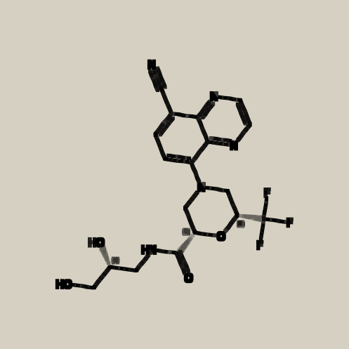 N#Cc1ccc(N2C[C@@H](C(=O)NC[C@@H](O)CO)O[C@@H](C(F)(F)F)C2)c2nccnc12